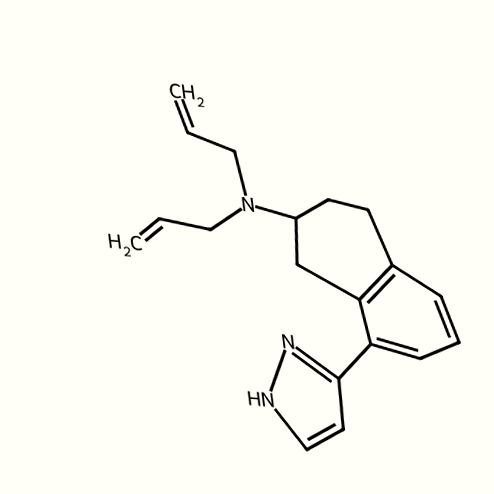 C=CCN(CC=C)C1CCc2cccc(-c3cc[nH]n3)c2C1